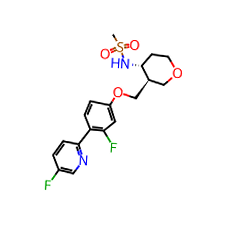 CS(=O)(=O)N[C@@H]1CCOC[C@H]1COc1ccc(-c2ccc(F)cn2)c(F)c1